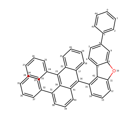 c1ccc(-c2ccc3c(c2)oc2cccc(-c4c5ccccc5c(-c5ccccc5)c5c(-c6ccccc6)cccc45)c23)cc1